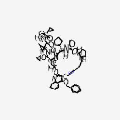 O=C1N[C@@H](C2CCCC2)C(=O)N2C[C@@H](C[C@H]2C(=O)N[C@]2(C(=O)NS(=O)(=O)C3CC3)C[C@H]2C2CC2)Oc2nc3ccccc3c(OCc3ccccc3)c2C/C=C/CC[C@@H]2CCC[C@H]2O1